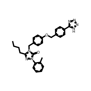 CCCCc1nn(-c2ccccc2C)c(=O)n1Cc1ccc(OCc2ccc(-c3nnn[nH]3)cc2)cc1